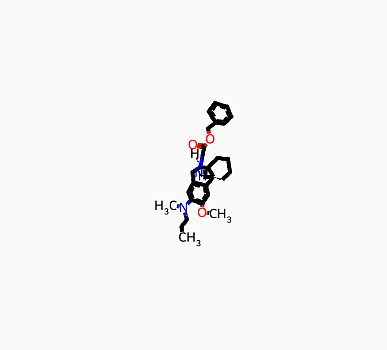 CCCN(C)c1cc2c(cc1OC)[C@]13CCCC[C@@H]1[C@H](C2)N(C(=O)OCc1ccccc1)CC3